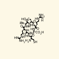 CC[C@H](C)[C@H](NC(=O)[C@H](CCCNC(=N)N)NC(=O)[C@H](CC(=O)O)NC(=O)[C@@H](NC(=O)[C@H](CCCNC(=N)N)NC(=O)CNC(=O)[C@@H](N)CS)[C@@H](C)CC)C(=O)O